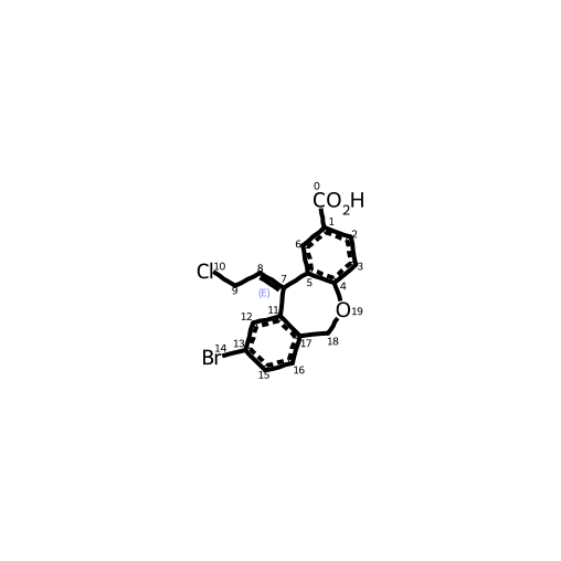 O=C(O)c1ccc2c(c1)/C(=C/CCl)c1cc(Br)ccc1CO2